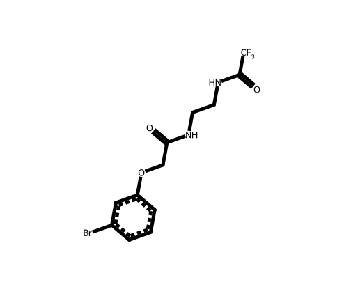 O=C(COc1cccc(Br)c1)NCCNC(=O)C(F)(F)F